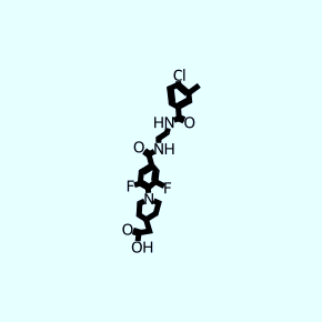 Cc1cc(C(=O)NCCNC(=O)c2cc(F)c(N3CCC(CC(=O)O)CC3)c(F)c2)ccc1Cl